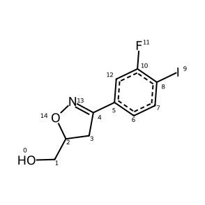 OCC1CC(c2ccc(I)c(F)c2)=NO1